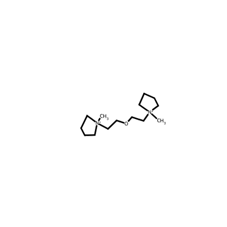 C[N+]1(CCOCC[N+]2(C)CCCC2)CCCC1